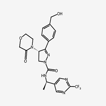 C[C@@H](NC(=O)N1C[C@H](N2CCOCC2=O)C(c2ccc(CO)cc2)=N1)c1cnc(C(F)(F)F)nc1